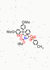 COc1ccc(C(c2ccccc2)(c2ccc(OC)cc2)C(O)[C@H]2C[C@@H](OS(=O)(=O)c3ccc(C)cc3)CN2C(=O)OC(C)(C)C)cc1